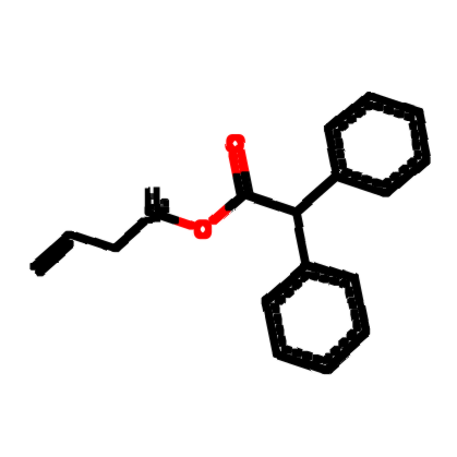 C=CC[SiH2]OC(=O)C(c1ccccc1)c1ccccc1